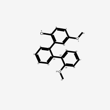 COc1ccc(Cl)c(-c2ccccc2-c2ccccc2OC)c1